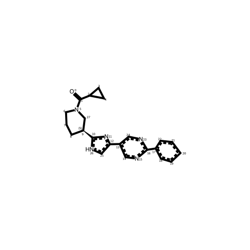 O=C(C1CC1)N1CCC[C@H](c2nc(-c3cnc(-c4ccccc4)nc3)c[nH]2)C1